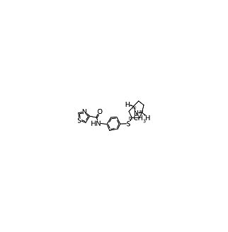 CN1[C@@H]2CC[C@H]1C[C@H](Sc1ccc(NC(=O)c3cscn3)cc1)C2